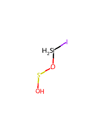 OSO[SiH2]I